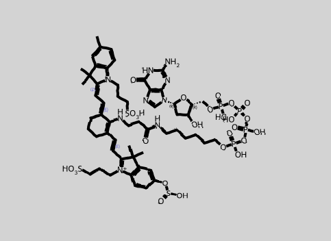 Cc1ccc2c(c1)C(C)(C)/C(=C/C=C1\CCCC(/C=C/C3=[N+](CCCS(=O)(=O)O)c4ccc(OS(=O)O)cc4C3(C)C)=C1NCCC(=O)NCCCCCCOP(=O)(O)OP(=O)(O)OP(=O)(O)OP(=O)(O)OC[C@H]1O[C@@H](n3cnc4c(=O)[nH]c(N)nc43)CC1O)N2CCCS(=O)(=O)O